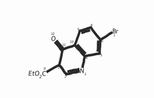 CCOC(=O)C1C=Nc2cc(Br)ccc2C1=O